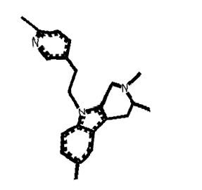 Cc1ccc2c(c1)c1c(n2CCc2ccc(C)nc2)CN(C)C(C)C1